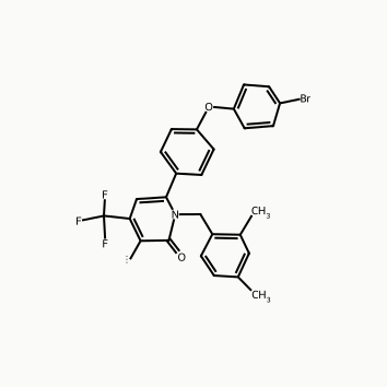 [C]c1c(C(F)(F)F)cc(-c2ccc(Oc3ccc(Br)cc3)cc2)n(Cc2ccc(C)cc2C)c1=O